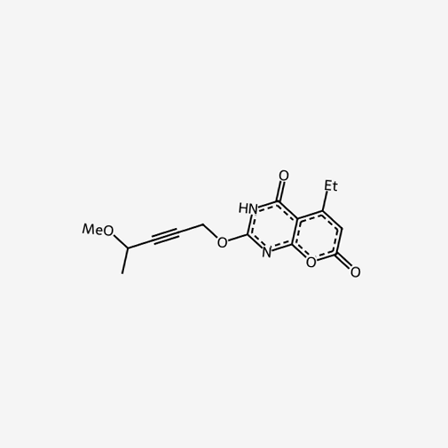 CCc1cc(=O)oc2nc(OCC#CC(C)OC)[nH]c(=O)c12